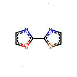 c1coc(-c2nccs2)n1